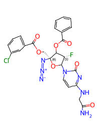 [N-]=[N+]=N[C@]1(COC(=O)c2cccc(Cl)c2)OC(n2ccc(NCC(N)=O)nc2=O)[C@@H](F)C1OC(=O)c1ccccc1